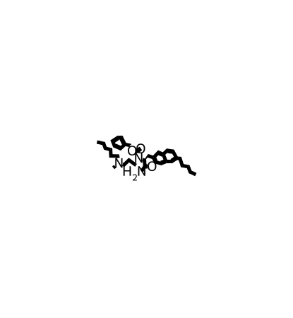 CCCCCCN(C)CCCN(C(=O)OCc1ccccc1)[C@@H](Cc1ccc2cc(CCCCC)ccc2c1)C(N)=O